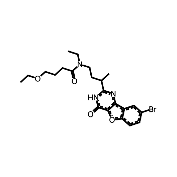 CCOCCCC(=O)N(CC)CCC(C)c1nc2c(oc3ccc(Br)cc32)c(=O)[nH]1